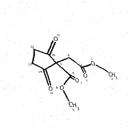 COC(=O)CC1(C(=O)OC)C(=O)CCC1=O